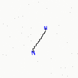 N#CC=CCCCCCCCCCCCCCCC#N